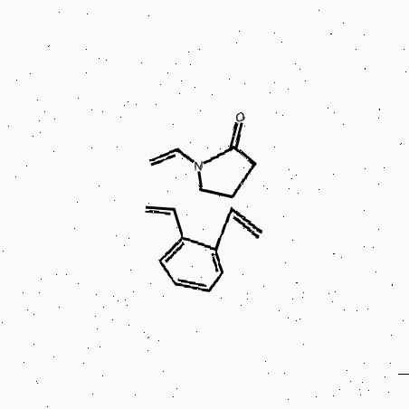 C=CN1CCCC1=O.C=Cc1ccccc1C=C